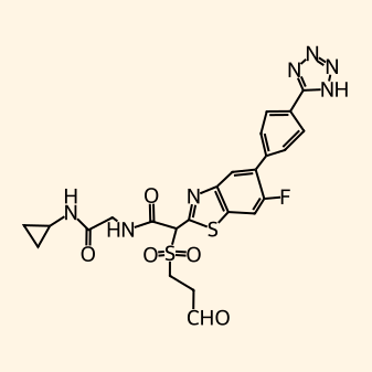 O=CCCS(=O)(=O)C(C(=O)NCC(=O)NC1CC1)c1nc2cc(-c3ccc(-c4nnn[nH]4)cc3)c(F)cc2s1